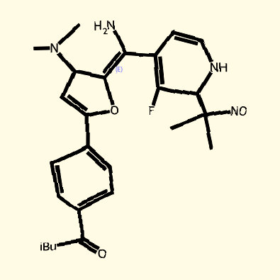 CCC(C)C(=O)c1ccc(C2=CC(N(C)C)/C(=C(\N)C3=C(F)C(C(C)(C)N=O)NC=C3)O2)cc1